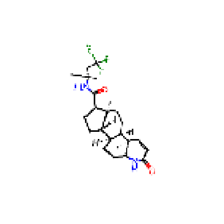 CC(C)(CC(F)(F)F)NC(=O)C1CC[C@H]2[C@@H]3CCC4NC(=O)C=C[C@]4(C)[C@@H]3CC[C@]12C